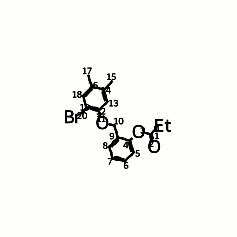 CCC(=O)Oc1ccccc1COc1cc(C)c(C)cc1Br